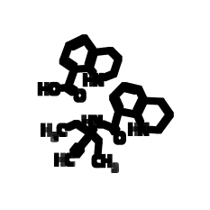 C#CC(CC)(CC)NC(=O)c1cccc2c1NCCC2.O=C(O)c1cccc2c1NCCC2